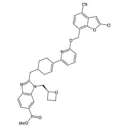 COC(=O)c1ccc2nc(CC3CC=C(c4cccc(OCc5ccc(C#N)c6cc(Cl)oc56)n4)CC3)n(C[C@@H]3CCO3)c2c1